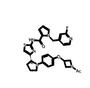 CC(=O)N1CC(Oc2ccc(N3CCC[C@@H]3c3csc(NC(=O)c4cccn4Cc4ccnc(F)c4)n3)cc2)C1